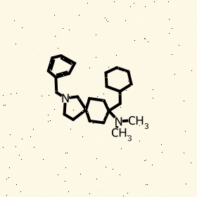 CN(C)C1(CC2CCCCC2)CCC2(CCN(Cc3ccccc3)C2)CC1